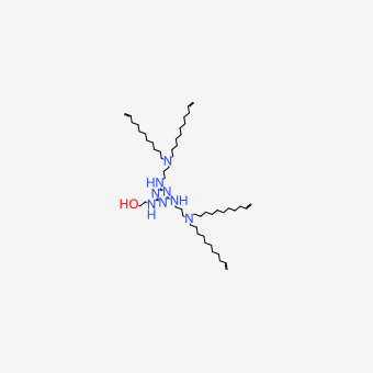 C=CCCCCCCCCCN(CCCCCCCCCC=C)CCCNc1nc(NCCO)nc(NCCCN(CCCCCCCCCC=C)CCCCCCCCCC=C)n1